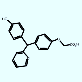 O=C(O)COc1ccc(C(c2ccc(O)cc2)c2ccccn2)cc1